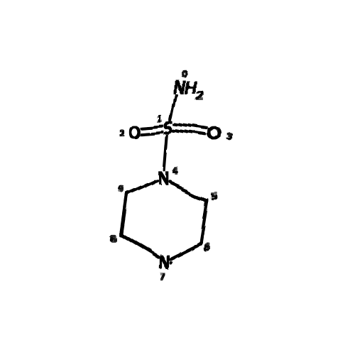 NS(=O)(=O)N1CC[N]CC1